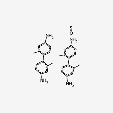 Cc1cc(N)ccc1-c1ccc(N)cc1C.Cc1cc(N)ccc1-c1ccc(N)cc1C.O=S